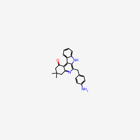 CC1(C)CC(=O)c2c(nc(Cc3ccc(N)cc3)c3[nH]c4ccccc4c23)C1